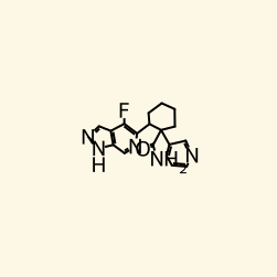 NC(=O)C1(c2cccnc2)CCCCC1c1ncc2[nH]ncc2c1F